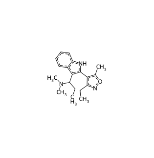 CCc1noc(C)c1-c1[nH]c2ccccc2c1C(CC)N(C)C